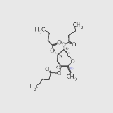 C/C=C1/OC[C@@H](OC(=O)CCC)[C@@H](OC(=O)CCC)C[C@@H]1OC(=O)CCC